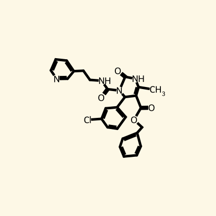 CC1=C(C(=O)OCc2ccccc2)C(c2cccc(Cl)c2)N(C(=O)NCCc2cccnc2)C(=O)N1